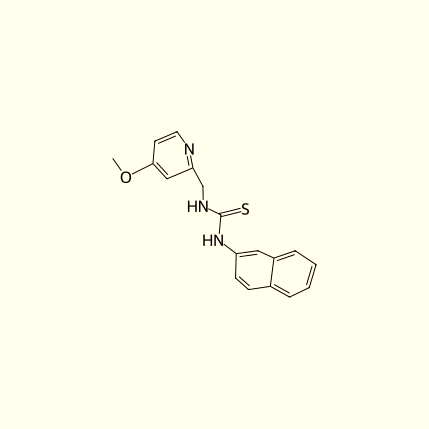 COc1ccnc(CNC(=S)Nc2ccc3ccccc3c2)c1